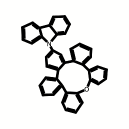 c1ccc2c(c1)Oc1ccccc1-c1ccccc1-c1cc(-n3c4ccccc4c4ccccc43)ccc1-c1ccccc1-2